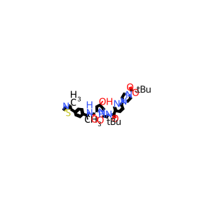 Cc1ncsc1-c1ccc([C@H](C)NC(=O)[C@@H]2C[C@@H](O)CN2C(=O)[C@@H](NC(=O)c2ccc(N3CCN(C(=O)OC(C)(C)C)CC3)nc2)C(C)(C)C)cc1